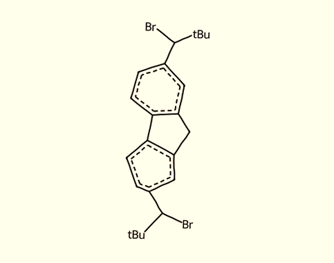 CC(C)(C)C(Br)c1ccc2c(c1)Cc1cc(C(Br)C(C)(C)C)ccc1-2